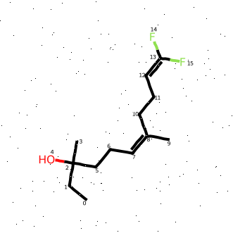 CCC(C)(O)CCC=C(C)CCC=C(F)F